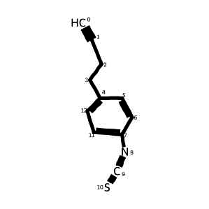 C#CCCc1ccc(N=C=S)cc1